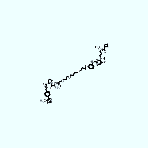 Cc1ncsc1-c1ccc(CNC(=O)[C@@H]2CCCN2C(=O)C(NC(=O)COCCCOCCCCOCCCOc2cccc(Nc3ncc(Br)c(NCCCN(C)C(=O)C4CCC4)n3)c2)C(C)(C)C)cc1